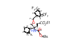 CCOC(=O)/C=C/[C@](CO[C@H](C)c1cc(C(F)(F)F)cc(C(F)(F)F)c1)(NC(=O)OC(C)(C)C)c1ccccc1